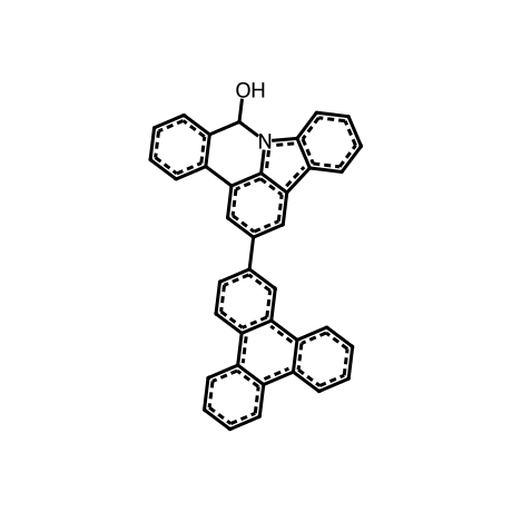 OC1c2ccccc2-c2cc(-c3ccc4c5ccccc5c5ccccc5c4c3)cc3c4ccccc4n1c23